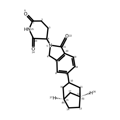 O=C1CCC(N2Cc3cc(C4C[C@H]5CC[C@@H](C4)C5)ccc3C2=O)C(=O)N1